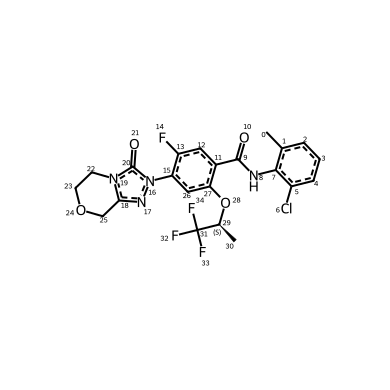 Cc1cccc(Cl)c1NC(=O)c1cc(F)c(-n2nc3n(c2=O)CCOC3)cc1O[C@@H](C)C(F)(F)F